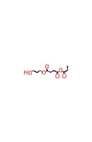 CCC(=O)OC(=O)CCC(=O)OCCCO